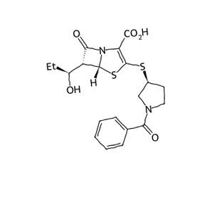 CC[C@H](O)[C@@H]1C(=O)N2C(C(=O)O)=C(S[C@H]3CCN(C(=O)c4ccccc4)C3)S[C@H]12